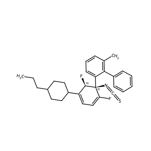 CCCC1CCC(C2=CC=C(F)[C@@](N=C=S)(c3cccc(C)c3-c3ccccc3)[C@@H]2F)CC1